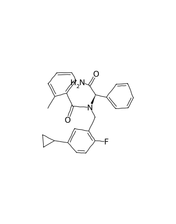 Cc1ccccc1C(=O)N(Cc1cc(C2CC2)ccc1F)[C@@H](C(N)=O)c1ccccc1